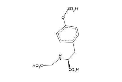 O=C(O)CN[C@@H](Cc1ccc(OS(=O)(=O)O)cc1)C(=O)O